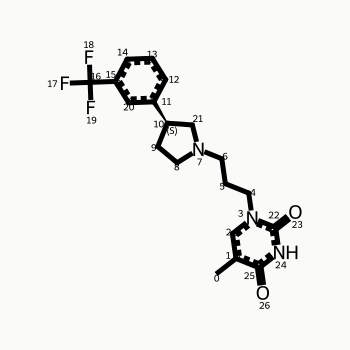 Cc1cn(CCCN2CC[C@@H](c3cccc(C(F)(F)F)c3)C2)c(=O)[nH]c1=O